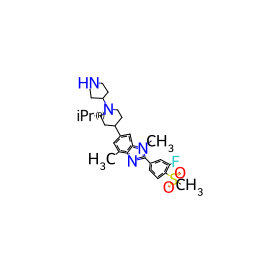 Cc1cc(C2CCN(C3CCNCC3)[C@@H](C(C)C)C2)cc2c1nc(-c1ccc(S(C)(=O)=O)c(F)c1)n2C